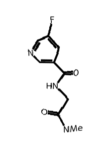 CNC(=O)CNC(=O)c1cncc(F)c1